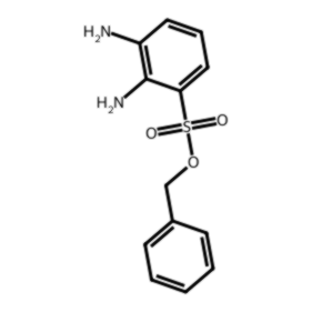 Nc1cccc(S(=O)(=O)OCc2ccccc2)c1N